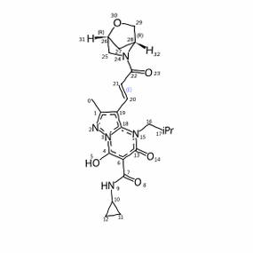 Cc1nn2c(O)c(C(=O)NC3CC3)c(=O)n(CC(C)C)c2c1/C=C/C(=O)N1C[C@H]2C[C@@H]1CO2